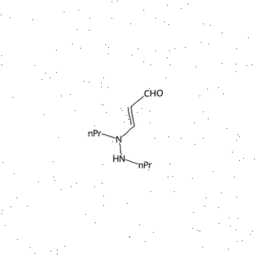 CCCNN(C=CC=O)CCC